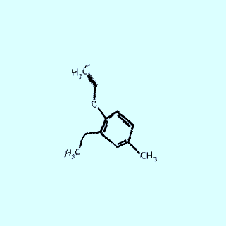 CCOc1ccc(C)cc1CC